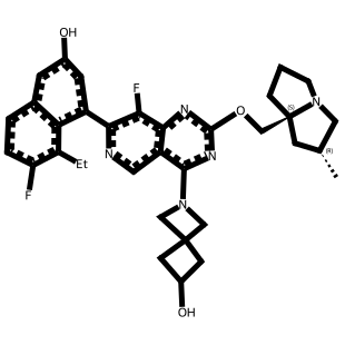 CCc1c(F)ccc2cc(O)cc(-c3ncc4c(N5CC6(CC(O)C6)C5)nc(OC[C@@]56CCCN5C[C@H](C)C6)nc4c3F)c12